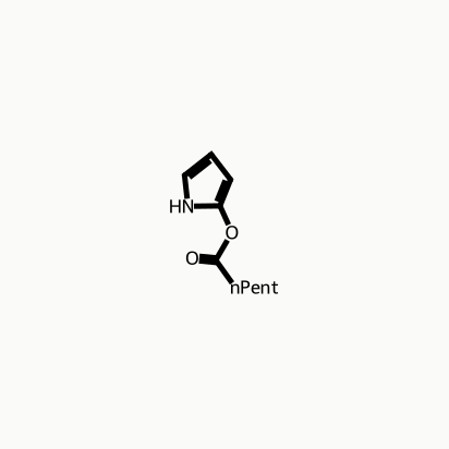 CCCCCC(=O)Oc1ccc[nH]1